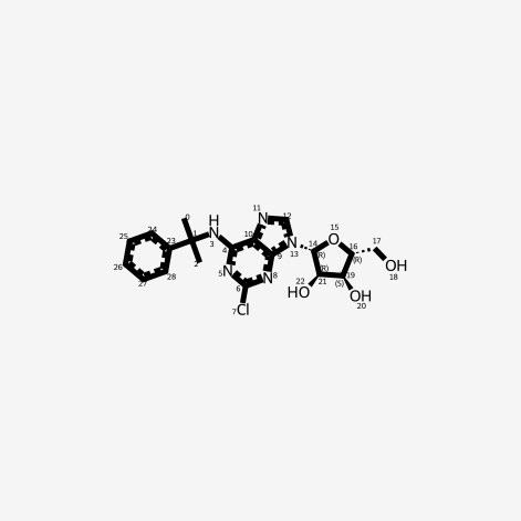 CC(C)(Nc1nc(Cl)nc2c1ncn2[C@@H]1O[C@H](CO)[C@@H](O)[C@H]1O)c1ccccc1